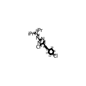 CC(C)N(C=Nc1ncc(C#Cc2ccc(Cl)cc2)c(Cl)n1)C(C)C